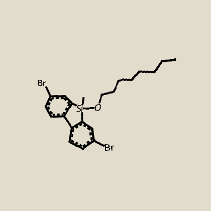 CCCCCCCCO[Si]1(C)c2cc(Br)ccc2-c2ccc(Br)cc21